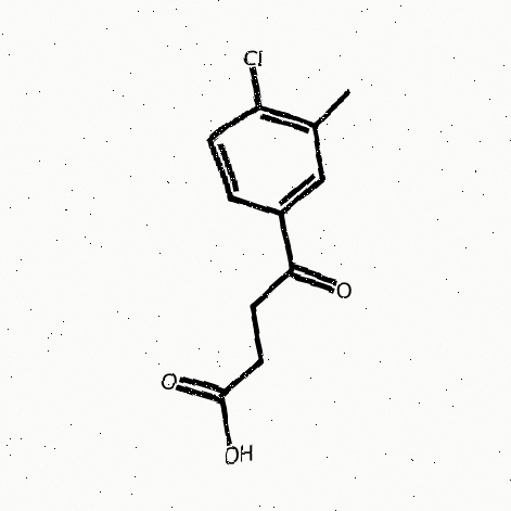 Cc1cc(C(=O)CCC(=O)O)ccc1Cl